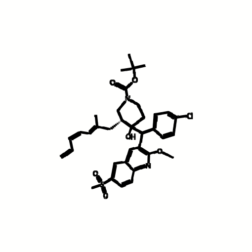 C=C/C=C\C=C(/C)C[C@@H]1CN(C(=O)OC(C)(C)C)CCC1(O)C(c1ccc(Cl)cc1)c1cc2cc(S(C)(=O)=O)ccc2nc1OC